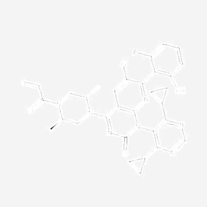 C=CC(=O)N1C[C@H](C)N(c2nc(=O)n(-c3c(C4CC4)ncnc3C3CC3)c3nc(-c4c(O)cccc4F)c(Cl)cc23)C[C@H]1C